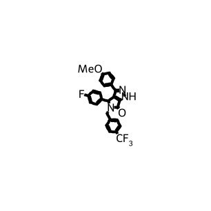 COc1ccc(-c2n[nH]c3c2C(c2ccc(F)cc2)N(Cc2ccc(C(F)(F)F)cc2)C3=O)cc1